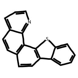 c1cnc2c(c1)ccc1ccc3c4ccccc4sc3c12